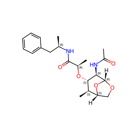 CC(=O)N[C@H]1[C@@H]2OC[C@@H](O2)[C@@H](C)[C@@H]1O[C@H](C)C(=O)N[C@H](C)Cc1ccccc1